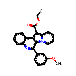 CCOC(=O)c1c2c3ccccc3nc(-c3cccc(OC)c3)c2n2ccccc12